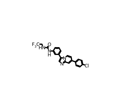 O=C(NCC(F)(F)F)Nc1cccc(-c2cnc3cc(-c4ccc(Cl)cc4)ccn23)c1